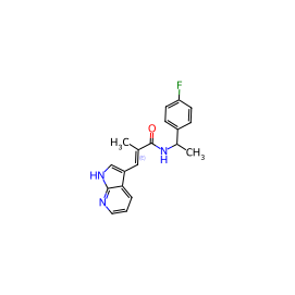 C/C(=C\c1c[nH]c2ncccc12)C(=O)NC(C)c1ccc(F)cc1